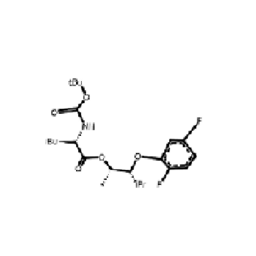 CC[C@H](C)[C@H](NC(=O)OC(C)(C)C)C(=O)O[C@@H](C)[C@H](Oc1cc(F)ccc1F)C(C)C